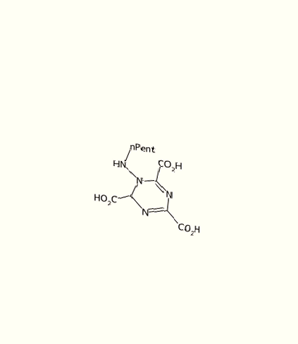 CCCCCNN1C(C(=O)O)=NC(C(=O)O)=NC1C(=O)O